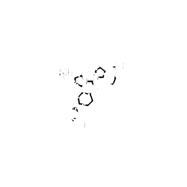 CCOC(=O)[C@H]1CC[C@H](OC(N2CCCC2)N2CCC[C@@H]2OCCOC)CC1.Cl.Cl